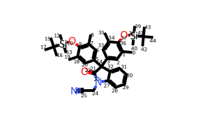 Cc1cc(C2(c3cc(C)c(O[Si](C)(C)C(C)(C)C)c(C)c3)C(=O)N(CC#N)c3ccccc32)cc(C)c1O[Si](C)(C)C(C)(C)C